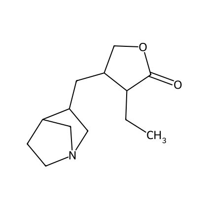 CCC1C(=O)OCC1CC1CN2CCC1C2